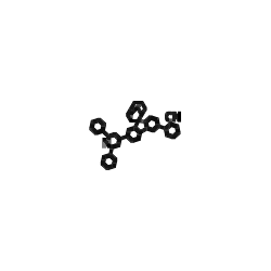 N#Cc1ccccc1-c1ccc2c(c1)-c1ccc(-c3cc(-c4ccccc4)nc(-c4ccccc4)c3)cc1C21C2CC3CC(C2)CC1C3